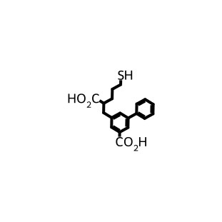 O=C(O)c1cc(CC(CCCS)C(=O)O)cc(-c2ccccc2)c1